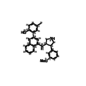 COc1cccc([C@@H]2CNCC2Nc2nc(-c3cc(C)ccc3O)nc3ccccc23)c1